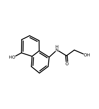 O=C(CO)Nc1cccc2c(O)cccc12